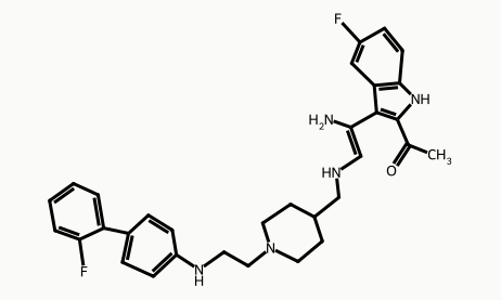 CC(=O)c1[nH]c2ccc(F)cc2c1/C(N)=C/NCC1CCN(CCNc2ccc(-c3ccccc3F)cc2)CC1